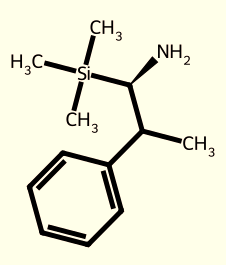 CC(c1ccccc1)[C@H](N)[Si](C)(C)C